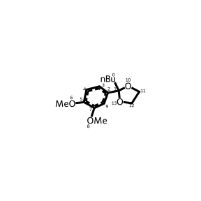 CCCCC1(c2ccc(OC)c(OC)c2)OCCO1